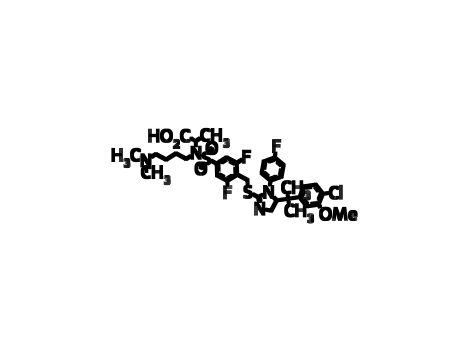 COc1cc(C(C)(C)C2CN=C(SCc3c(F)cc(S(=O)(=O)N(CCCCN(C)C)[C@H](C)C(=O)O)cc3F)N2c2ccc(F)cc2)ccc1Cl